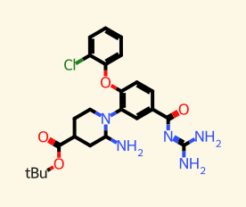 CC(C)(C)OC(=O)C1CCN(c2cc(C(=O)N=C(N)N)ccc2Oc2ccccc2Cl)C(N)C1